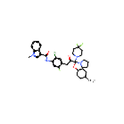 Cn1cc(C(=O)Nc2cc(F)c(CC(=O)C(OC3CCC(C(=O)O)CC3)(N3CCCC3)N3CCC(F)(F)CC3)cc2Cl)c2ccccc21